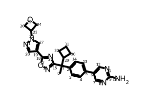 CC(c1ccc(-c2cnc(N)nc2)cc1)(c1noc(-c2cnn(C3COC3)c2)n1)C1CCC1